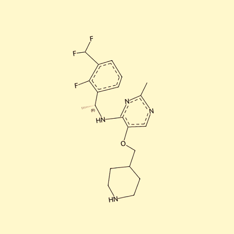 Cc1ncc(OCC2CCNCC2)c(N[C@H](C)c2cccc(C(F)F)c2F)n1